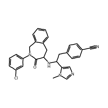 Cn1cncc1C(Cc1ccc(C#N)cc1)NC1Cc2ccccc2CN(c2cccc(Cl)c2)C1=O